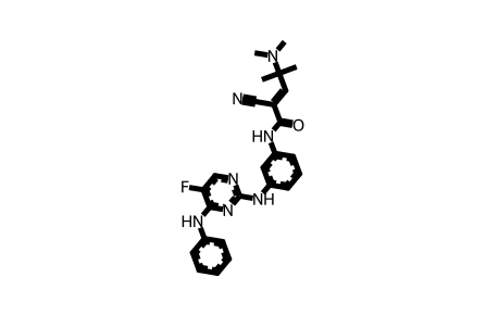 CN(C)C(C)(C)C=C(C#N)C(=O)Nc1cccc(Nc2ncc(F)c(Nc3ccccc3)n2)c1